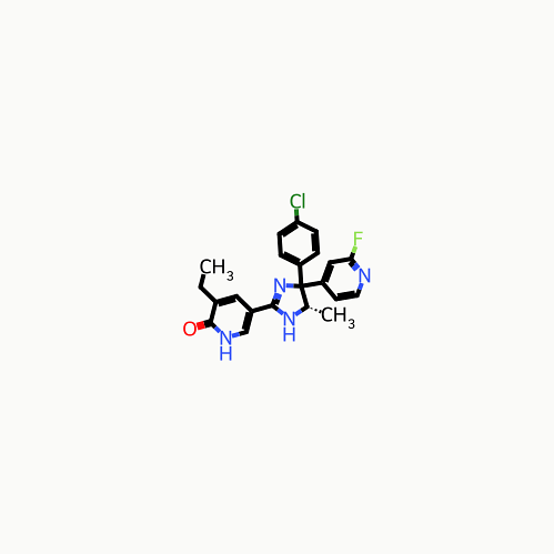 CCc1cc(C2=NC(c3ccc(Cl)cc3)(c3ccnc(F)c3)[C@H](C)N2)c[nH]c1=O